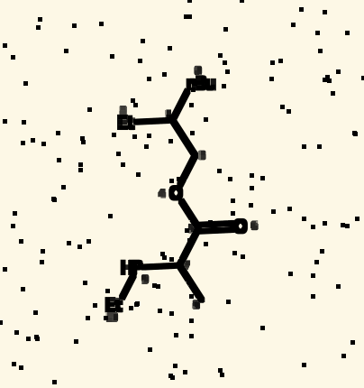 CCCCC(CC)COC(=O)C(C)PCC